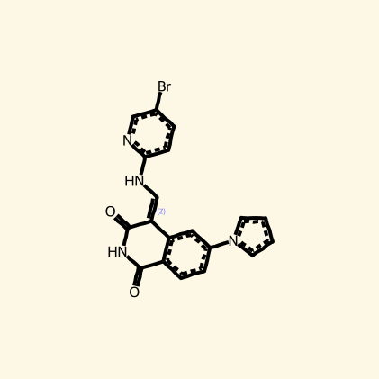 O=C1NC(=O)c2ccc(-n3cccc3)cc2/C1=C/Nc1ccc(Br)cn1